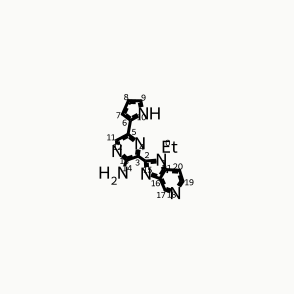 CCn1c(-c2nc(-c3ccc[nH]3)cnc2N)nc2cnccc21